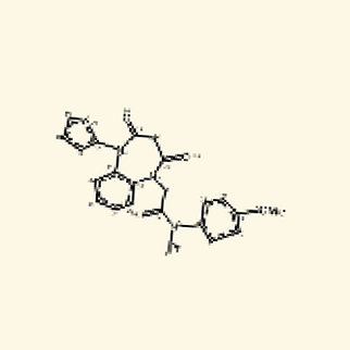 COc1ccc(N(C(=O)CN2C(=O)CC(=O)N(c3cccs3)c3ccccc32)C(C)C)cc1